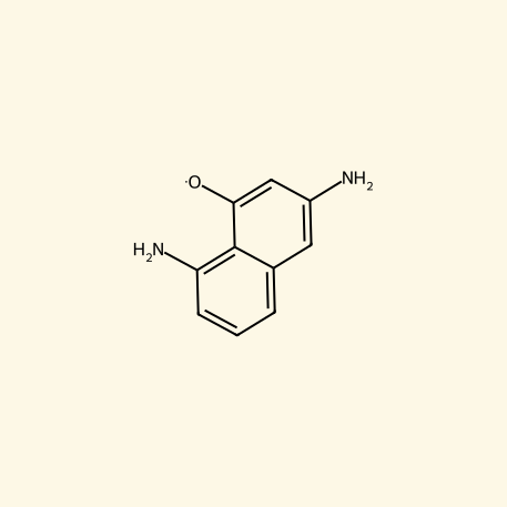 Nc1cc([O])c2c(N)cccc2c1